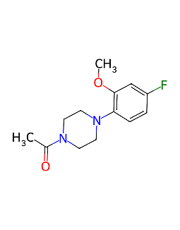 COc1cc(F)ccc1N1CCN(C(C)=O)CC1